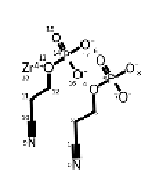 N#CCCOP(=O)([O-])[O-].N#CCCOP(=O)([O-])[O-].[Zr+4]